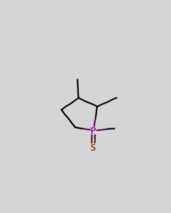 CC1CCP(C)(=S)C1C